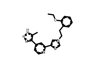 CCOc1ccccc1CCn1cnc(-c2cc(-c3nn[nH]c3C)ccn2)c1